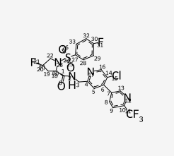 O=C(NCc1cc(-c2ccc(C(F)(F)F)nc2)c(Cl)cn1)[C@H]1C[C@@H](F)CN1S(=O)(=O)c1ccc(F)cc1